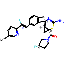 N#Cc1ccc(/C(F)=C/c2ccc3c(c2)[C@@]2(C3)N=C(N)S[C@@]3(C(=O)N4CC[C@@H](F)C4)C[C@H]32)nc1